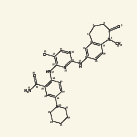 CN1C(=O)CCCc2cc(Nc3ncc(Cl)c(Nc4ccc(N5CCCCC5)cc4C(N)=O)n3)ccc21